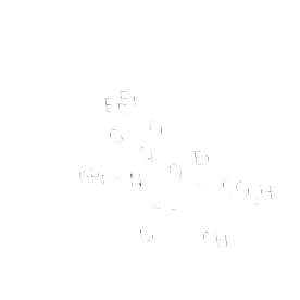 CCCN(C(=O)C(C)CC(=O)O)[Si](OCC)(OCC)OCC